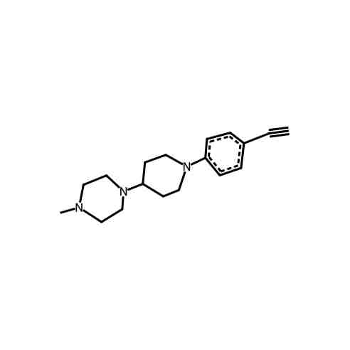 C#Cc1ccc(N2CCC(N3CCN(C)CC3)CC2)cc1